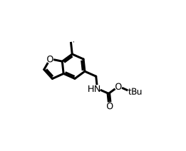 [CH2]c1cc(CNC(=O)OC(C)(C)C)cc2ccoc12